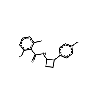 O=C(NC1CCC1c1ccc(Cl)cc1)c1c(F)cccc1Cl